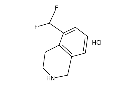 Cl.FC(F)c1cccc2c1CCNC2